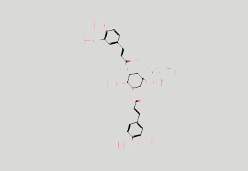 CCOC(=O)[C@]1(O)C[C@@H](OC(=O)/C=C/c2ccc(O)c(O)c2)[C@@H](O)[C@H](OC(=O)/C=C/c2ccc(O)c(O)c2)C1